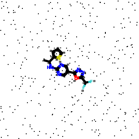 CC(Nc1ncc(-c2nnc(C(F)F)o2)cn1)c1cccs1